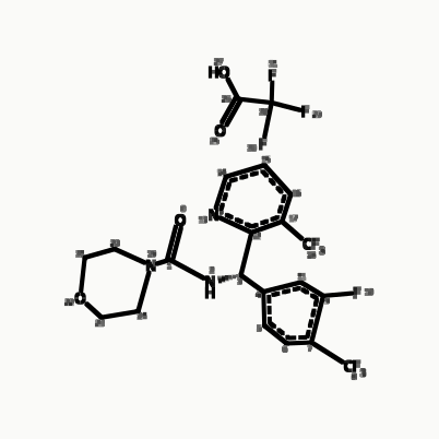 O=C(N[C@@H](c1ccc(C(F)(F)F)c(F)c1)c1ncccc1C(F)(F)F)N1CCOCC1.O=C(O)C(F)(F)F